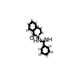 N=C(NN1CCc2ccccc2C1=O)c1ccccc1